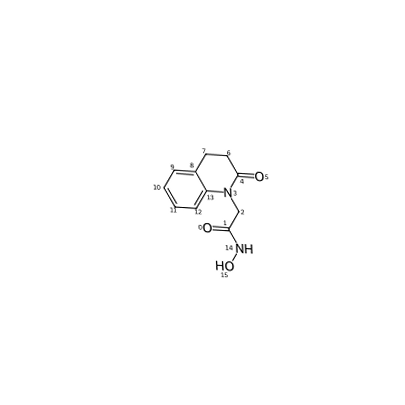 O=C(CN1C(=O)CCc2ccccc21)NO